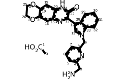 CC(=O)O.NCc1cccc(Cn2cc(-c3nc4cc5c(cc4[nH]c3=O)OCCO5)c3ccccc32)n1